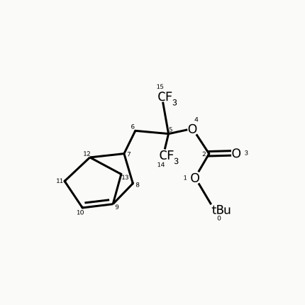 CC(C)(C)OC(=O)OC(CC1CC2=CCC1C2)(C(F)(F)F)C(F)(F)F